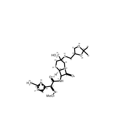 CON=C(C(=O)NC1C(=O)N2CC(SCC3COC(C)(C)O3)(C(=O)O)CS[C@H]12)c1csc(N)n1